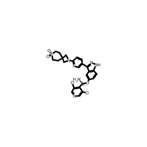 N[C@@H](Oc1ccc2[nH]nc(-c3ccc(N4CC5(CCS(=O)(=O)CC5)C4)nc3)c2c1)c1c(Cl)cncc1Cl